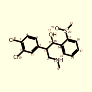 CNCC(c1ccc(Cl)c(Cl)c1)[C@@H](O)c1ccccc1[S+](C)[O-]